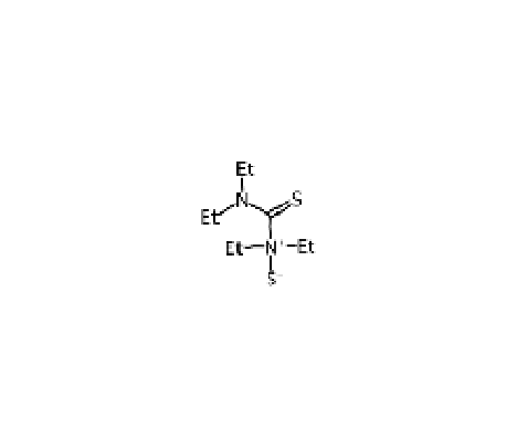 CCN(CC)C(=S)[N+]([S-])(CC)CC